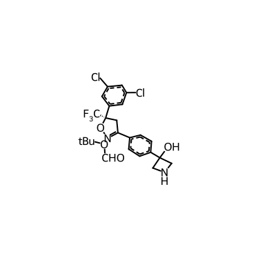 CC(C)(C)OC=O.OC1(c2ccc(C3=NO[C@](c4cc(Cl)cc(Cl)c4)(C(F)(F)F)C3)cc2)CNC1